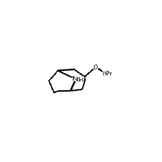 CCCOC1CC2CCC(C1)N2